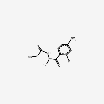 CN(NC(=O)OC(C)(C)C)C(=O)c1ccc([N+](=O)[O-])cc1F